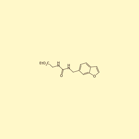 CCOC(=O)CNC(=O)NCc1ccc2ccoc2c1